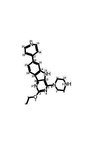 CCOc1nc(N2CCNCC2)c2[nH]c3cc(-c4ccncc4)ccc3c2n1